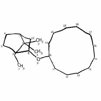 CC1(C)C2CCC1(C)C(OC1CCCCCCCCCCC1)C2